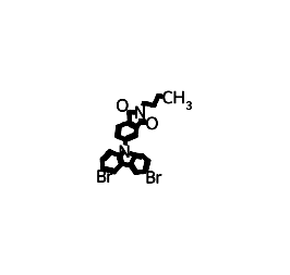 CCCCN1C(=O)c2ccc(-n3c4ccc(Br)cc4c4cc(Br)ccc43)cc2C1=O